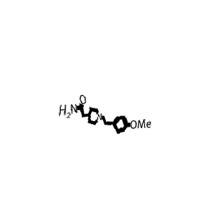 COc1ccc(CCN2CCC(CC(N)=O)CC2)cc1